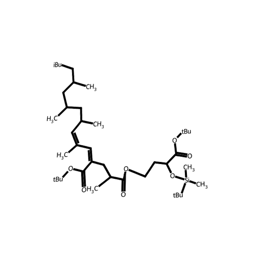 CCC(C)CC(C)CC(C)CC(C)C=C(C)C=C(CC(C)C(=O)OCCC(O[Si](C)(C)C(C)(C)C)C(=O)OC(C)(C)C)C(=O)OC(C)(C)C